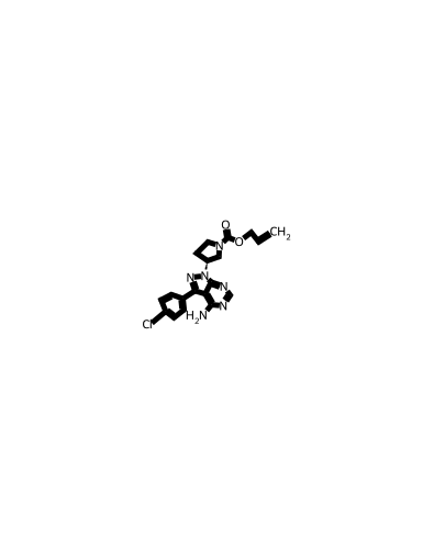 C=CCOC(=O)N1CC[C@@H](n2nc(-c3ccc(Cl)cc3)c3c(N)ncnc32)C1